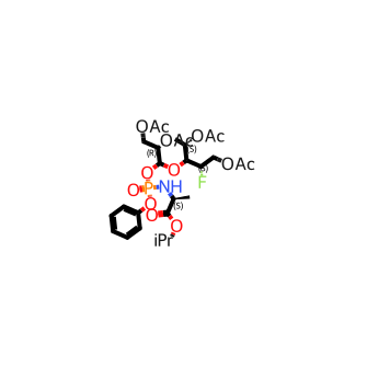 CC(=O)OC[C@H](F)C(OC(OP(=O)(N[C@@H](C)C(=O)OC(C)C)Oc1ccccc1)[C@@H](COC(C)=O)OC(C)=O)[C@H](C)OC(C)=O